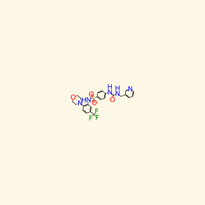 O=C(NCc1cccnc1)Nc1ccc(S(=O)(=O)Nc2cc(C(F)(F)F)ccc2N2CCOCC2)cc1